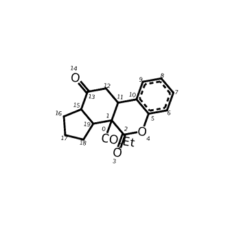 CCOC(=O)C12C(=O)Oc3ccccc3C1CC(=O)C1CCCC12